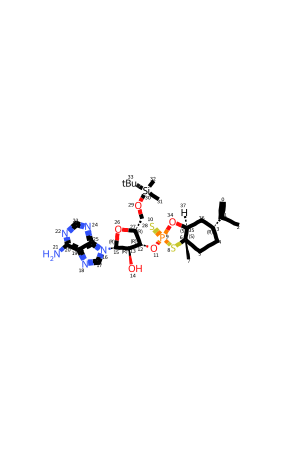 C=C(C)[C@@H]1CC[C@]2(C)SP(=S)(O[C@@H]3[C@@H](O)[C@H](n4cnc5c(N)ncnc54)O[C@@H]3CO[Si](C)(C)C(C)(C)C)O[C@H]2C1